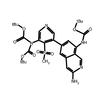 CC(C)(C)OC(=O)Nc1cc(-c2cncc(N(C(=O)OC(C)(C)C)C(=O)OC(C)(C)C)c2S(C)(=O)=O)cc2cc(N)ncc12